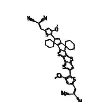 COc1cc(C=C(C#N)C#N)sc1C1=CC2=C(c3sc4c(sc5cc(-c6sc(C=C(C#N)C#N)cc6OC)sc54)c3C23CCCCC3)C12CCCCC2